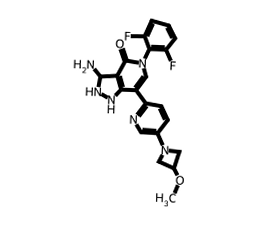 COC1CN(c2ccc(-c3cn(-c4c(F)cccc4F)c(=O)c4c3NNC4N)nc2)C1